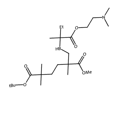 CCC(C)(BCC(C)(CCC(C)(C)C(=O)OC(C)(C)C)C(=O)OC)C(=O)OCCN(C)C